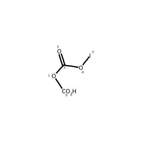 O=C(O)OC(=O)OI